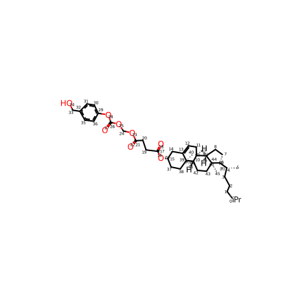 CC(C)CCC[C@@H](C)[C@H]1CC[C@H]2[C@@H]3CC=C4C[C@@H](OC(=O)CCC(=O)OCOC(=O)Oc5ccc(CO)cc5)CC[C@]4(C)[C@H]3CC[C@]12C